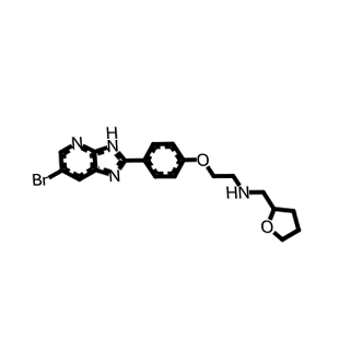 Brc1cnc2[nH]c(-c3ccc(OCCNCC4CCCO4)cc3)nc2c1